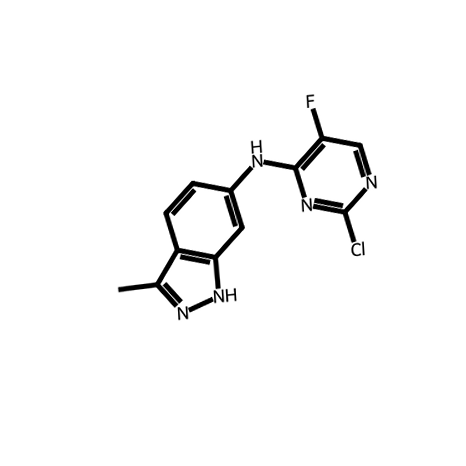 Cc1n[nH]c2cc(Nc3nc(Cl)ncc3F)ccc12